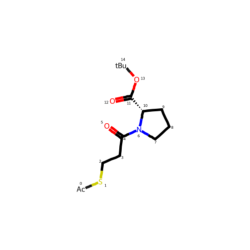 CC(=O)SCCC(=O)N1CCC[C@H]1C(=O)OC(C)(C)C